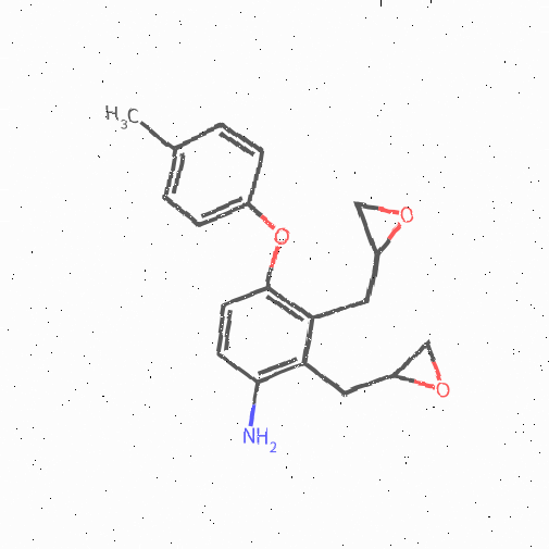 Cc1ccc(Oc2ccc(N)c(CC3CO3)c2CC2CO2)cc1